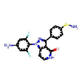 NSc1ccc(-c2nn(-c3c(F)cc(N)cc3F)c3cc[nH]c(=O)c23)cc1